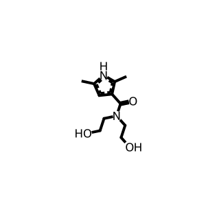 Cc1cc(C(=O)N(CCO)CCO)c(C)[nH]1